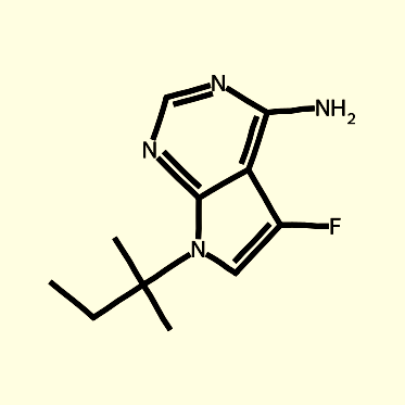 CCC(C)(C)n1cc(F)c2c(N)ncnc21